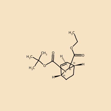 CCOC(=O)[C@H]1[C@@H]2C=C[C@@H](CC2)N1C(=O)OC(C)(C)C